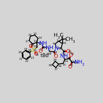 CC1(C)C2CN(C(=O)[C@@H](NC(=O)NC3(CS(=O)(=O)c4ccccc4)CCCCC3)C(C)(C)C)[C@H](C(=O)NC(CC3CCC3)C(=O)C(N)=O)C21